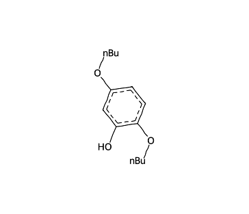 CCCCOc1ccc(OCCCC)c(O)c1